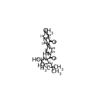 CC(CC(C)(C)C)[C@@H](NC(=O)O)C(=O)N1CCN(N2CN3CN(C)C=C3C2=O)CC1